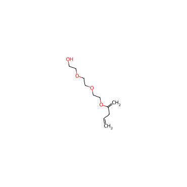 C=CCC(=C)OCCOCCOCCO